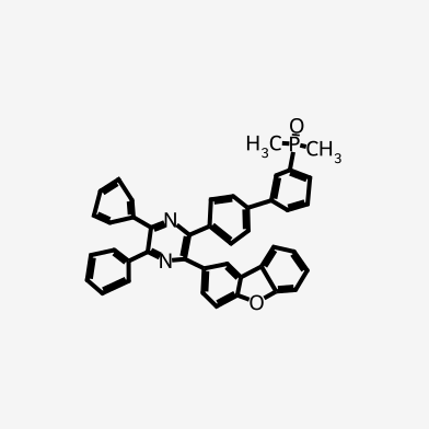 CP(C)(=O)c1cccc(-c2ccc(-c3nc(-c4ccccc4)c(-c4ccccc4)nc3-c3ccc4oc5ccccc5c4c3)cc2)c1